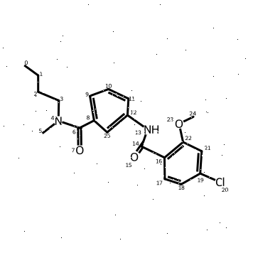 CCCCN(C)C(=O)c1cccc(NC(=O)c2ccc(Cl)cc2OC)c1